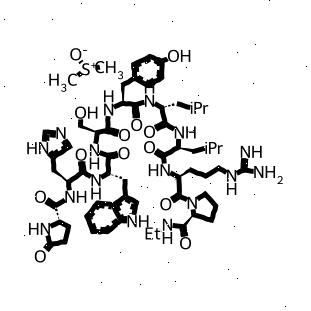 CCNC(=O)[C@@H]1CCCN1C(=O)[C@H](CCCNC(=N)N)NC(=O)[C@H](CC(C)C)NC(=O)[C@@H](CC(C)C)NC(=O)[C@H](Cc1ccc(O)cc1)NC(=O)[C@H](CO)NC(=O)[C@H](Cc1c[nH]c2ccccc12)NC(=O)[C@H](Cc1cnc[nH]1)NC(=O)[C@@H]1CCC(=O)N1.C[S+](C)[O-]